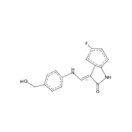 O=C1Nc2ccc(F)cc2/C1=C\Nc1ccc(CO)cc1